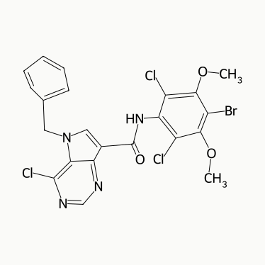 COc1c(Cl)c(NC(=O)c2cn(Cc3ccccc3)c3c(Cl)ncnc23)c(Cl)c(OC)c1Br